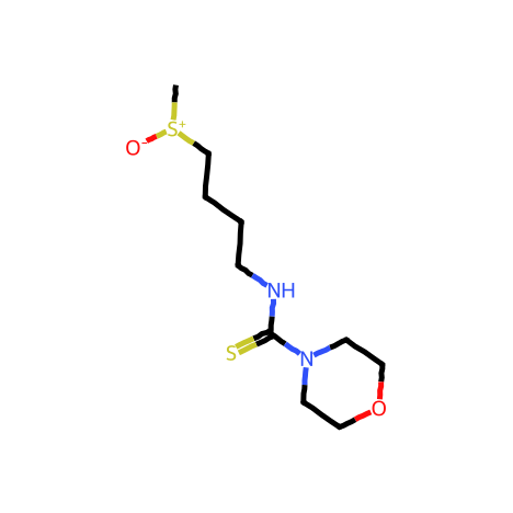 C[S+]([O-])CCCCNC(=S)N1CCOCC1